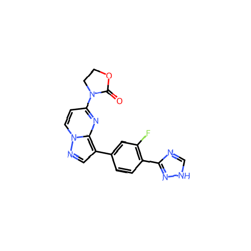 O=C1OCCN1c1ccn2ncc(-c3ccc(-c4nc[nH]n4)c(F)c3)c2n1